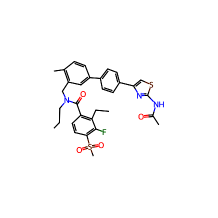 CCCN(Cc1cc(-c2ccc(-c3csc(NC(C)=O)n3)cc2)ccc1C)C(=O)c1ccc(S(C)(=O)=O)c(F)c1CC